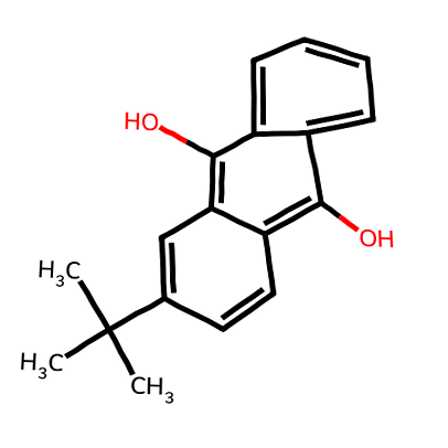 CC(C)(C)c1ccc2c(O)c3ccccc3c(O)c2c1